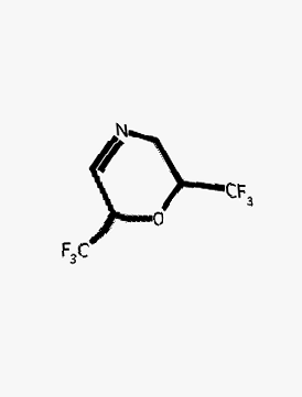 FC(F)(F)C1C=NCC(C(F)(F)F)O1